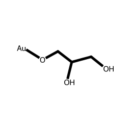 OCC(O)C[O][Au]